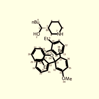 CCCCC(O)[C@@H]1CCCNC1.CCc1ccccc1Oc1ccccc1C1(Oc2ccccc2CC)C=C(OC)C=CC1Br